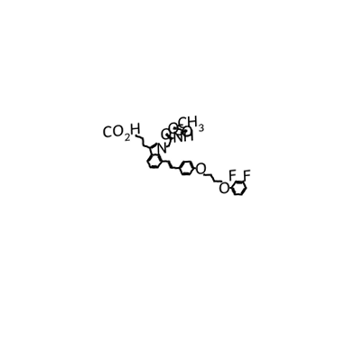 CS(=O)(=O)NC(=O)Cn1cc(CCCC(=O)O)c2cccc(/C=C/c3ccc(OCCCCOc4cccc(F)c4F)cc3)c21